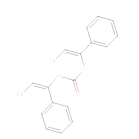 CCC=C(OC(=O)OC(=CCC)c1ccccc1)c1ccccc1